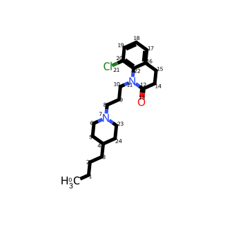 CCCCC1CCN(CCCN2C(=O)CCc3cccc(Cl)c32)CC1